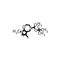 Cn1nc(I)c2c1OCCN(C(=O)OC(C)(C)C)C2